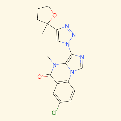 Cn1c(=O)c2cc(Cl)ccc2n2cnc(-n3cc(C4(C)CCCO4)nn3)c12